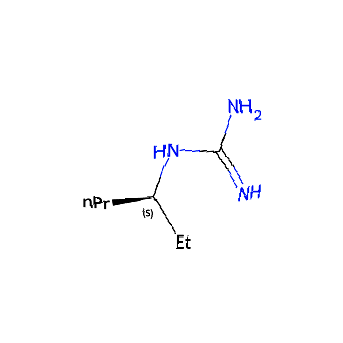 CCC[C@H](CC)NC(=N)N